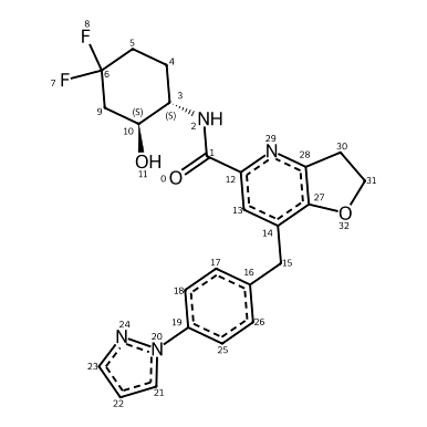 O=C(N[C@H]1CCC(F)(F)C[C@@H]1O)c1cc(Cc2ccc(-n3cccn3)cc2)c2c(n1)CCO2